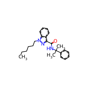 CCCCCCn1nc(C(=O)NC(C)(C)c2ccccc2)c2ccccc21